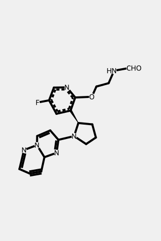 O=CNCCOc1ncc(F)cc1[C@H]1CCCN1C1=NC2C#CC=NN2C=C1